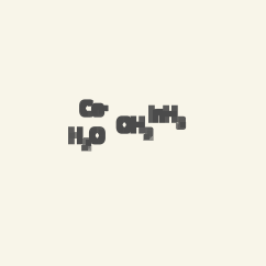 O.O.[Co].[InH3]